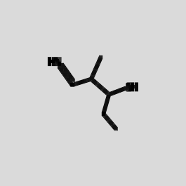 CCC(S)C(C)C=N